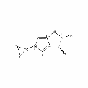 C[C@H]1c2nn(C3CC3)cc2CN1C